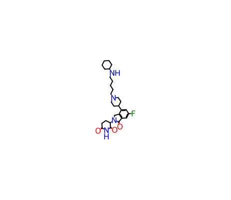 O=C1CCC(N2Cc3c(cc(F)cc3C3CCN(CCCCCNC4CCCCC4)CC3)C2=O)C(=O)N1